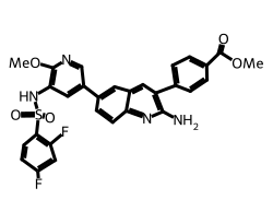 COC(=O)c1ccc(-c2cc3cc(-c4cnc(OC)c(NS(=O)(=O)c5ccc(F)cc5F)c4)ccc3nc2N)cc1